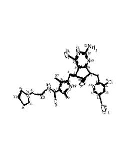 Cc1[nH]c(/C=C2\C(=O)C(Cc3ncc(C(F)(F)F)cc3Cl)c3nc(N)nc(Cl)c32)c(C)c1C(=O)NCCN1CCCC1